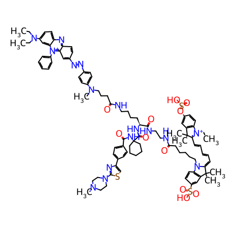 CCN(CC)c1ccc2nc3ccc(/N=N/c4ccc(N(C)CCCC(=O)NCCCC[C@H](NC(=O)C5(NC(=O)c6ccc(-c7csc(N8CCN(C)CC8)n7)cc6)CCCCC5)C(=O)NCCNC(=O)CCCCCN5\C(=C/C=C/C=C/C6=[N+](CC)c7ccc(OS(=O)O)cc7C6(C)C)C(C)(C)c6cc(S(=O)(=O)O)ccc65)cc4)cc3[n+](-c3ccccc3)c2c1